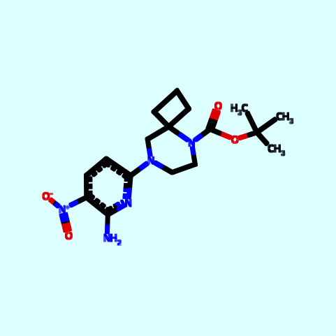 CC(C)(C)OC(=O)N1CCN(c2ccc([N+](=O)[O-])c(N)n2)CC12CCC2